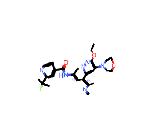 C=N/C(C)=C(\C=C(/C)NC(=O)c1ccnc(C(C)(C)F)c1)c1cc(N2CCOCC2)c(OCC)nn1